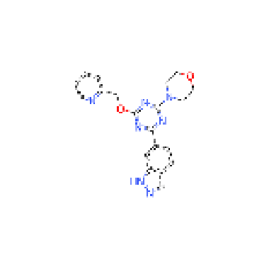 c1ccc(COc2nc(-c3ccc4cn[nH]c4c3)nc(N3CCOCC3)n2)nc1